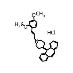 COc1ccc(C=CCN2CCC(=C3c4ccccc4C=Cc4ccccc43)CC2)c(OC)c1.Cl